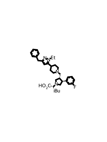 CC[C@@H](C)[C@H](C(=O)O)N1C[C@H](CN2CCC(c3cc(Cc4ccccc4)nn3CC)CC2)[C@@H](c2cccc(F)c2)C1